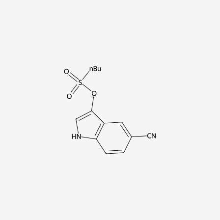 CCCCS(=O)(=O)Oc1c[nH]c2ccc(C#N)cc12